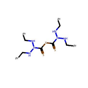 CC(C)CNN(NCC(C)C)C(=S)SC(=S)N(NCC(C)C)NCC(C)C